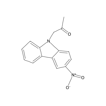 CC(=O)Cn1c2ccccc2c2cc([N+](=O)[O-])ccc21